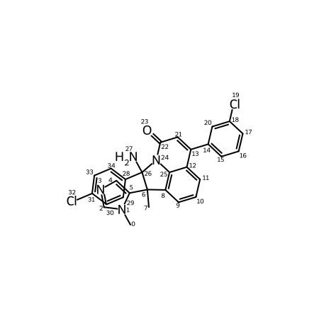 Cn1cncc1C1(C)c2cccc3c(-c4cccc(Cl)c4)cc(=O)n(c23)C1(N)c1ccc(Cl)cc1